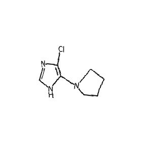 Clc1nc[nH]c1N1CCCC1